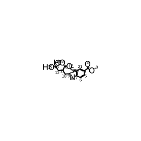 COC(=O)c1ccc2nc(CC(CC(=O)O)C(=O)O)sc2c1